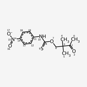 CC(=O)C(C)(C)COC(=S)Nc1ccc([N+](=O)[O-])cc1